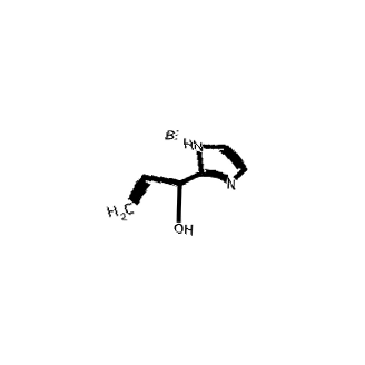 C=CC(O)c1ncc[nH]1.[B]